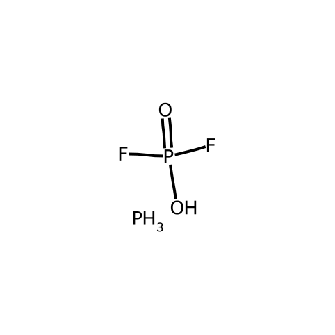 O=P(O)(F)F.P